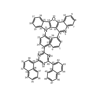 c1ccc(-c2nc3ccccc3c3oc4c5ccccc5n(-c5ccc(-c6nc(-c7cccc8ccccc78)nc(-c7cccc8ccccc78)n6)cc5)c4c23)cc1